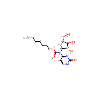 CCCCCCCCCCCCCCCCOC(=O)N(c1cc[nH]c(=O)n1)C1O[C@H](CO)[C@@H](O)[C@@H]1O